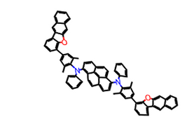 Cc1cc(-c2cccc3c2oc2cc4ccccc4cc23)cc(C)c1N(c1ccccc1)c1ccc2ccc3c(N(c4ccccc4)c4c(C)cc(-c5cccc6c5oc5cc7ccccc7cc56)cc4C)ccc4ccc1c2c43